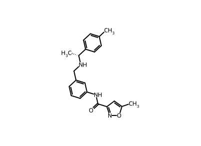 Cc1ccc([C@@H](C)NCc2cccc(NC(=O)c3cc(C)on3)c2)cc1